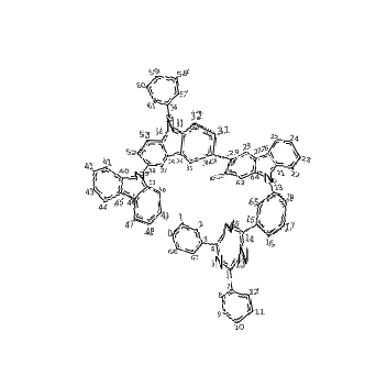 c1ccc(-c2nc(-c3ccccc3)nc(-c3cccc(-n4c5ccccc5c5cc(-c6ccc7c(c6)c6cc(-n8c9ccccc9c9ccccc98)ccc6n7-c6ccccc6)ccc54)c3)n2)cc1